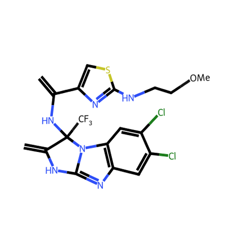 C=C(NC1(C(F)(F)F)C(=C)Nc2nc3cc(Cl)c(Cl)cc3n21)c1csc(NCCOC)n1